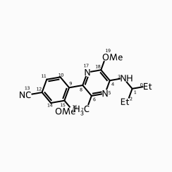 CCC(CC)Nc1nc(C)c(-c2ccc(C#N)cc2OC)nc1OC